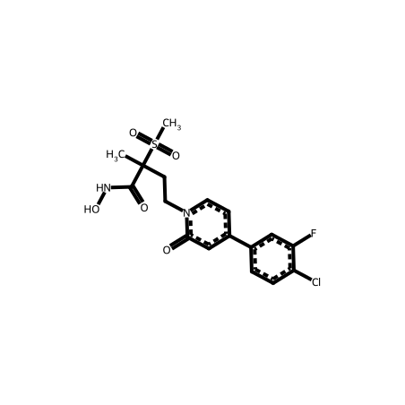 CC(CCn1ccc(-c2ccc(Cl)c(F)c2)cc1=O)(C(=O)NO)S(C)(=O)=O